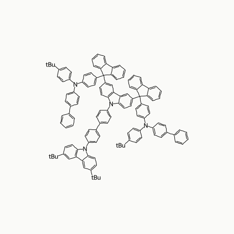 CC(C)(C)c1ccc(N(c2ccc(-c3ccccc3)cc2)c2ccc(C3(c4ccc5c(c4)c4cc(C6(c7ccc(N(c8ccc(-c9ccccc9)cc8)c8ccc(C(C)(C)C)cc8)cc7)c7ccccc7-c7ccccc76)ccc4n5-c4ccc(-c5ccc(-n6c7ccc(C(C)(C)C)cc7c7cc(C(C)(C)C)ccc76)cc5)cc4)c4ccccc4-c4ccccc43)cc2)cc1